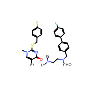 CCN(CC)CCN(C=O)Cc1ccc(-c2ccc(Cl)cc2)cc1.CCc1cn(C)c(SCc2ccc(F)cc2)nc1=O